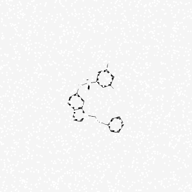 O=S(=O)(Nc1ccc2ncn(CCc3ccccc3)c2c1)c1cc(Cl)cc(Cl)c1